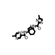 Cc1cnc(C(=O)NC23CCCC(NC(=O)c4nc(C)cs4)(CC2)C3)cn1